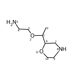 CC(OCCN)C1CNCCO1